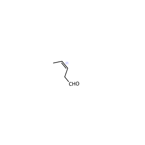 C/C=C\CC=O